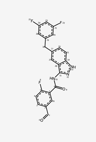 O=Cc1ccc(F)c(C(=O)Nc2n[nH]c3ccc(Cc4cc(F)cc(F)c4)cc23)c1